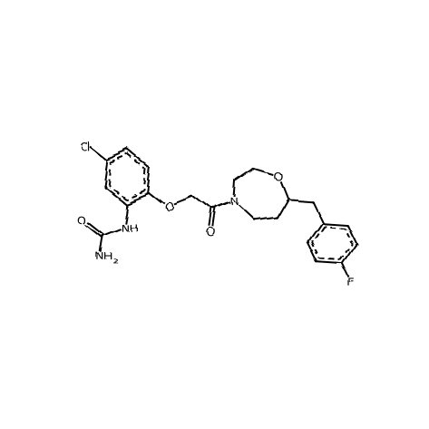 NC(=O)Nc1cc(Cl)ccc1OCC(=O)N1CCOC(Cc2ccc(F)cc2)CC1